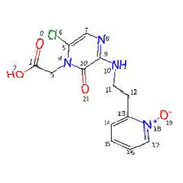 O=C(O)Cn1c(Cl)cnc(NCCc2cccc[n+]2[O-])c1=O